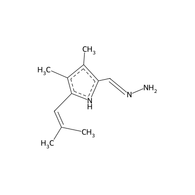 CC(C)=Cc1[nH]c(C=NN)c(C)c1C